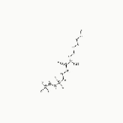 CCCCCCCC(S)C(=O)OCCC(C)(C)OOC(C)(C)C